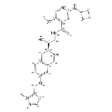 COc1cnc(NC2CCC2)cc1C(=O)NCC(O)[C@@H]1Cc2ccc(OCc3ocnc3C)cc2CN1